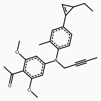 CC#CCN(c1cc(OC)c(C(C)=O)c(OC)c1)c1ccc(C2=CC2CC)cc1C